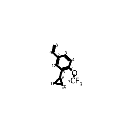 C=[C]c1ccc(OC(F)(F)F)c(C2CC2)c1